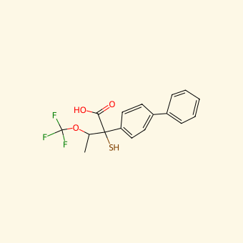 CC(OC(F)(F)F)C(S)(C(=O)O)c1ccc(-c2ccccc2)cc1